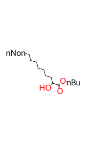 CCCCCCCCCCCCCCCCC(O)C(=O)OCCCC